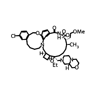 CCO[C@]1(CN2CCN3CCOC[C@@H]3C2)CCC[C@H](C)[C@@H](CCOC)S(=O)(=O)NC(=O)c2ccc3c(c2)N(CCCCc2cc(Cl)ccc2CO3)C[C@@H]2CC[C@H]21